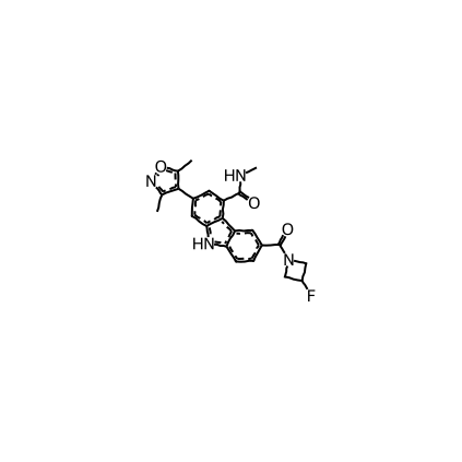 CNC(=O)c1cc(-c2c(C)noc2C)cc2[nH]c3ccc(C(=O)N4CC(F)C4)cc3c12